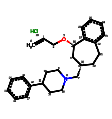 C=CCO[C@H]1C[C@@H](CN2CCC(c3ccccc3)CC2)CCc2ccccc21.Cl